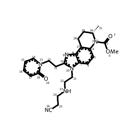 COC(=O)N1c2ccc3c(nc(CCn4ccccc4=O)n3CCNCCC#N)c2CC[C@@H]1C